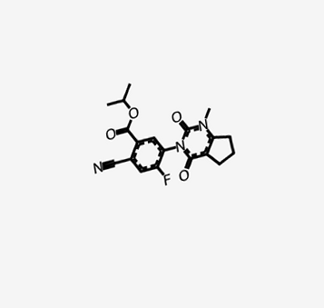 CC(C)OC(=O)c1cc(-n2c(=O)c3c(n(C)c2=O)CCC3)c(F)cc1C#N